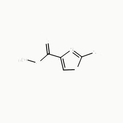 CCCCOC(=O)c1csc(N)n1